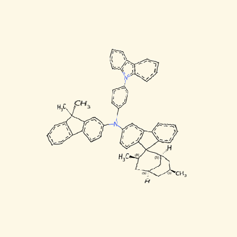 C[C@H]1C[C@@H]2C[C@H](C1)C1(c3ccccc3-c3cc(N(c4ccc(-n5c6ccccc6c6ccccc65)cc4)c4ccc5c(c4)C(C)(C)c4ccccc4-5)ccc31)[C@H](C)C2